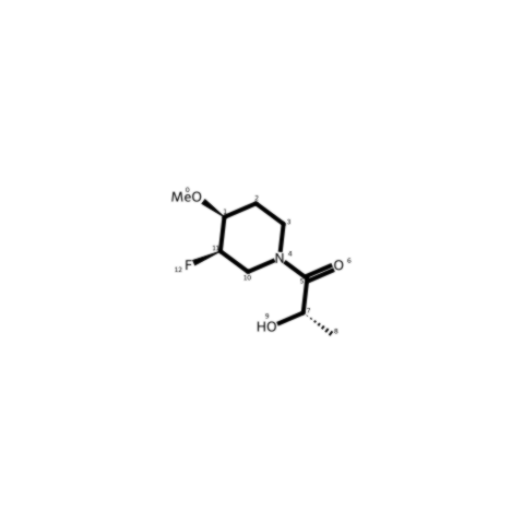 CO[C@H]1CCN(C(=O)[C@H](C)O)C[C@H]1F